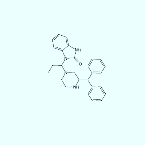 CCC(N1CCNC(C(c2ccccc2)c2ccccc2)C1)n1c(=O)[nH]c2ccccc21